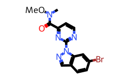 CON(C)C(=O)c1ccnc(-n2ncc3ccc(Br)cc32)n1